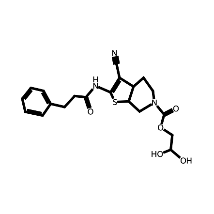 N#CC1=C(NC(=O)CCc2ccccc2)SC2CN(C(=O)OCC(O)O)CCC12